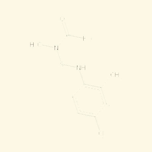 Cc1cc(Cl)ccc1NSN(C)C(=O)F